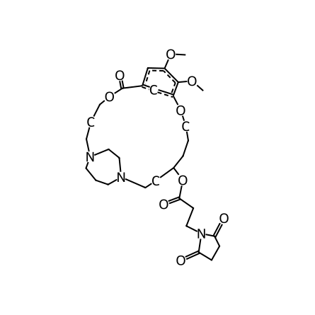 COc1cc2cc(c1OC)OCCCC(OC(=O)CCN1C(=O)CCC1=O)CCN1CCCN(CCCOC2=O)CC1